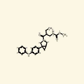 CCC(CNC(=O)OC)C(=O)N1CC2CC2(c2ccc(Oc3ccccc3)cc2)C1